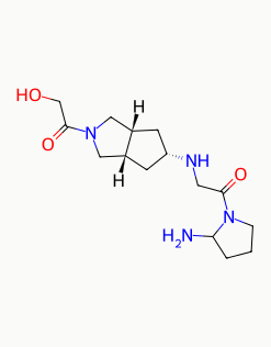 NC1CCCN1C(=O)CN[C@@H]1C[C@@H]2CN(C(=O)CO)C[C@@H]2C1